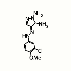 COc1ccc(NN=C2C=NN(N)C2N)cc1Cl